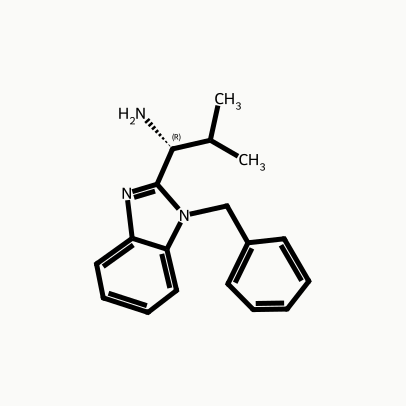 CC(C)[C@@H](N)c1nc2ccccc2n1Cc1ccccc1